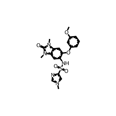 COc1cccc(Oc2cc3c(cc2NS(=O)(=O)c2cn(C)cn2)n(C)c(=O)n3C)c1